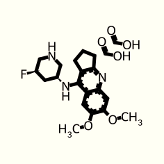 COc1cc2nc3c(c(N[C@H]4CNC[C@H](F)C4)c2cc1OC)CCC3.O=CO.O=CO